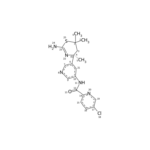 CC1(C)C[C@@](C)(c2cncc(NC(=O)c3ccc(Cl)cn3)c2)N=C(N)S1